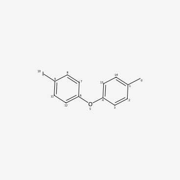 Cc1ccc(Oc2[c]cc(I)cc2)cc1